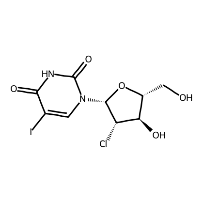 O=c1[nH]c(=O)n([C@@H]2O[C@H](CO)[C@@H](O)[C@@H]2Cl)cc1I